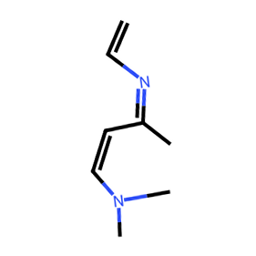 C=C/N=C(C)\C=C/N(C)C